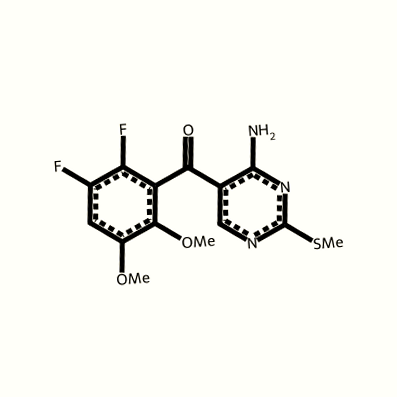 COc1cc(F)c(F)c(C(=O)c2cnc(SC)nc2N)c1OC